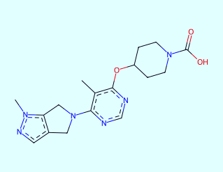 Cc1c(OC2CCN(C(=O)O)CC2)ncnc1N1Cc2cnn(C)c2C1